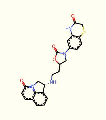 O=C1CSc2ccc(N3C[C@@H](CCN[C@H]4Cn5c(=O)ccc6cccc4c65)OC3=O)cc2N1